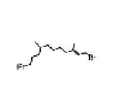 C/C(=C\CBr)CCCCC(C)CCCC(C)C